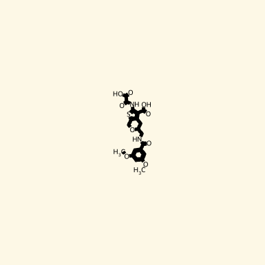 COc1cc(OC)cc(C(=O)NCC2Cc3c(sc(NC(=O)C(=O)O)c3C(=O)O)CO2)c1